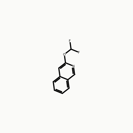 FC(F)Oc1cc2ccccc2[c]n1